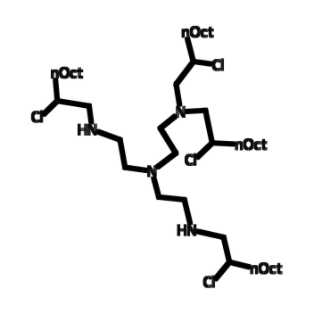 CCCCCCCCC(Cl)CNCCN(CCNCC(Cl)CCCCCCCC)CCN(CC(Cl)CCCCCCCC)CC(Cl)CCCCCCCC